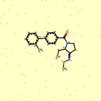 CO/N=C1/CCN(C(=O)c2ccc(-c3ccccc3C)cc2)C1CO